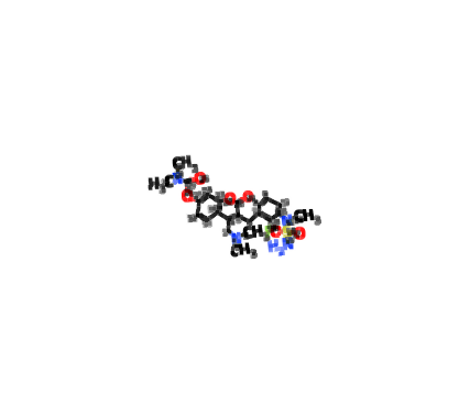 CN(C)Cc1c(Cc2cccc(N(C)S(N)(=O)=O)c2F)c(=O)oc2cc(OC(=O)N(C)C)ccc12